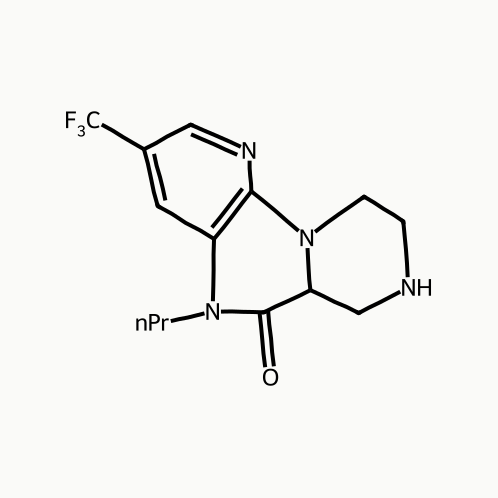 CCCN1C(=O)C2CNCCN2c2ncc(C(F)(F)F)cc21